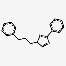 C1=NC(c2ccccc2)=NC1CCCc1ccccc1